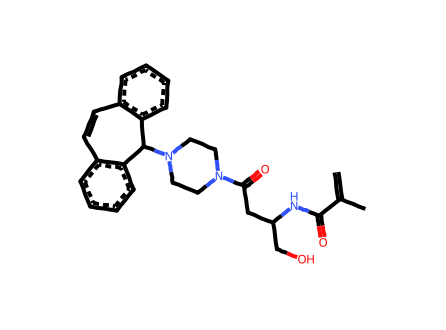 C=C(C)C(=O)NC(CO)CC(=O)N1CCN(C2c3ccccc3C=Cc3ccccc32)CC1